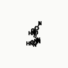 N#Cc1ccc(S(=O)(=O)NC2CC(c3nnc4cnc5[nH]ccc5n34)C2)cc1